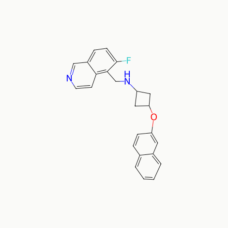 Fc1ccc2cnccc2c1CNC1CC(Oc2ccc3ccccc3c2)C1